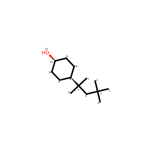 CC(C)(C)CC(C)(C)[C@H]1CC[C@@H](O)CC1